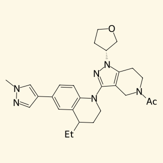 CCC1CCN(c2nn([C@@H]3CCOC3)c3c2CN(C(C)=O)CC3)c2ccc(-c3cnn(C)c3)cc21